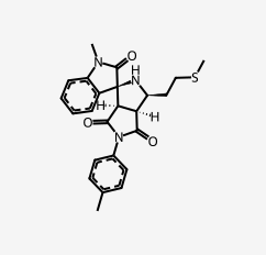 CSCC[C@@H]1N[C@@]2(C(=O)N(C)c3ccccc32)[C@@H]2C(=O)N(c3ccc(C)cc3)C(=O)[C@H]12